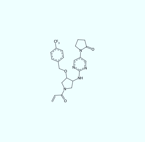 C=CC(=O)N1CC(Nc2ncc(N3CCCC3=O)cn2)C(OCc2ccc(C(F)(F)F)cc2)C1